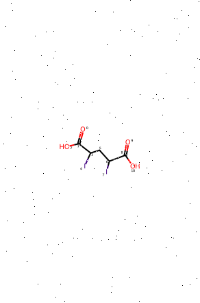 O=C(O)C(I)CC(I)C(=O)O